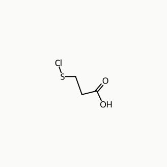 O=C(O)CCSCl